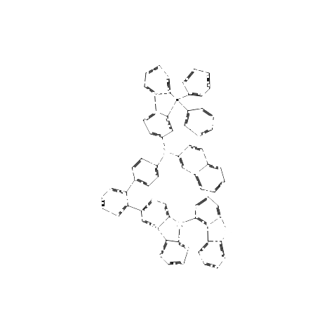 c1ccc(C2(c3ccccc3)c3ccccc3-c3ccc(N(c4ccc(-c5ccccc5-c5ccc6c(c5)c5ccccc5n6-c5cccc6oc7ccccc7c56)cc4)c4ccc5ccccc5c4)cc32)cc1